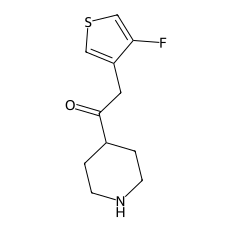 O=C(Cc1cscc1F)C1CCNCC1